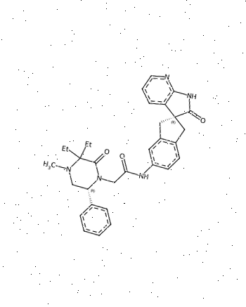 CCC1(CC)C(=O)N(CC(=O)Nc2ccc3c(c2)C[C@@]2(C3)C(=O)Nc3ncccc32)[C@H](c2ccccc2)CN1C